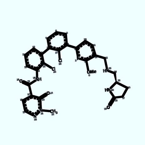 COc1nc(-c2cccc(-c3cccc(NC(=O)c4ccnn(C)c4=O)c3Cl)c2Cl)ccc1CNC[C@H]1CCC(=O)N1